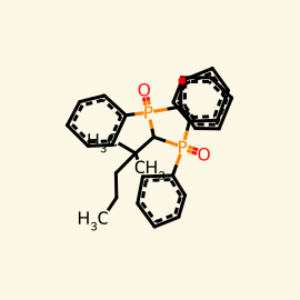 CCCC(C)(C)C(P(=O)(c1ccccc1)c1ccccc1)P(=O)(c1ccccc1)c1ccccc1